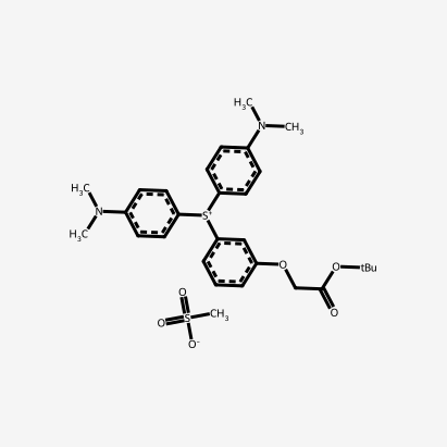 CN(C)c1ccc([S+](c2ccc(N(C)C)cc2)c2cccc(OCC(=O)OC(C)(C)C)c2)cc1.CS(=O)(=O)[O-]